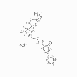 Cl.O=c1nc(-c2cccnc2)ccn1CCCCN1C[C@@H]2C[C@]2(c2ccc(C(F)(F)F)cc2)C1